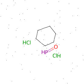 C1CCCCC1.Cl.Cl.O=P